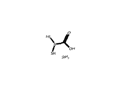 O=C(O)N(S)S.[SbH3]